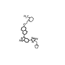 C[C@H]1CCCCN1CCOc1ccc2cc(-c3n[nH]c4ccc(-c5n[nH]c(CN6CCCC6)n5)cc34)ccc2c1